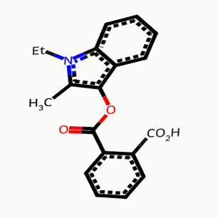 CCn1c(C)c(OC(=O)c2ccccc2C(=O)O)c2ccccc21